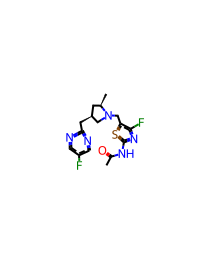 CC(=O)Nc1nc(F)c(CN2C[C@@H](Cc3ncc(F)cn3)C[C@H]2C)s1